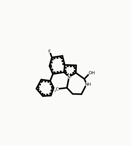 CC1CCNC(O)c2cc3cc(F)cc(-c4ccccc4)c3n21